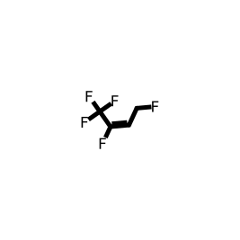 FC/C=C(/F)C(F)(F)F